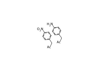 CC(=O)Cc1ccc(N)cc1.CC(=O)Cc1ccc([N+](=O)[O-])cc1